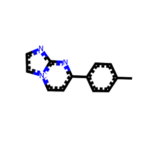 Cc1ccc(-c2ccn3ccnc3n2)cc1